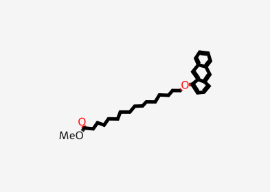 COC(=O)CCCCCCCCCCCCCCCOc1cccc2cc3ccccc3cc12